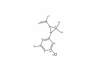 C=C(C)C1C(c2cc(C)cc(Cl)c2)C1(C)C